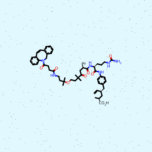 C=C[C@@H](Cc1ccc(NC(=O)[C@H](CCCNC(N)=O)NC(=O)[C@@H](CC(=O)C(C)(C)CCOC(C)(C)CCNC(=O)CCC(=O)N2Cc3ccccc3/C=C\c3ccccc32)C(C)C)cc1)C[C@H](C)C(=O)O